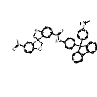 CNc1ccc(C2(c3ccc(NC(=O)c4ccc5c(c4)C4(COc6ccc(C(C)=O)cc64)CO5)cc3)c3ccccc3-c3ccccc32)cc1